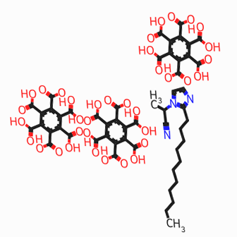 CCCCCCCCCCCc1nccn1C(C)C#N.O=C(O)c1c(C(=O)O)c(C(=O)O)c(C(=O)O)c(C(=O)O)c1C(=O)O.O=C(O)c1c(C(=O)O)c(C(=O)O)c(C(=O)O)c(C(=O)O)c1C(=O)O.O=C(O)c1c(C(=O)O)c(C(=O)O)c(C(=O)O)c(C(=O)O)c1C(=O)O